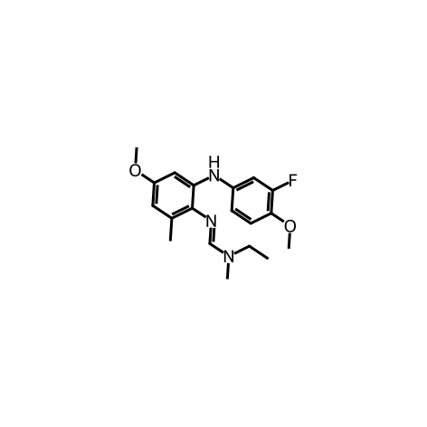 CCN(C)C=Nc1c(C)cc(OC)cc1Nc1ccc(OC)c(F)c1